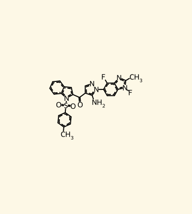 Cc1ccc(S(=O)(=O)n2c(C(=O)c3cnn(-c4ccc5c(nc(C)n5F)c4F)c3N)cc3ccccc32)cc1